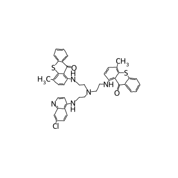 Cc1ccc(NCCN(CCNc2ccnc3cc(Cl)ccc23)CCNc2ccc(C)c3sc4ccccc4c(=O)c23)c2c(=O)c3ccccc3sc12